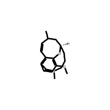 COc1ccc2c3c1O[C@H](CCCN(C)C2)CC(C)/C=C\3